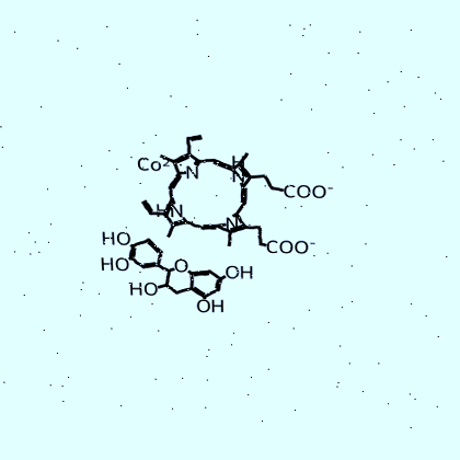 C=CC1=C(C)c2cc3[nH]c(cc4nc(cc5[nH]c(cc1n2)c(C)c5CCC(=O)[O-])C(CCC(=O)[O-])=C4C)c(C)c3C=C.Oc1cc(O)c2c(c1)OC(c1ccc(O)c(O)c1)C(O)C2.[Co+2]